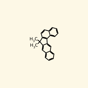 CC1(C)c2cc3ccccc3cc2-c2c1ccc1ccccc21